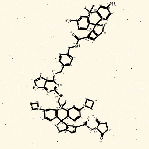 C[Si]1(C)c2cc(N)ccc2C2(OCc3ccc(C(=O)NCc4ccc(COc5nc(NC[Si]6(C)c7cc(N8CCC8)ccc7C7(OCc8ccc(C(=O)ON9C(=O)CCC9=O)cc87)c7ccc(N8CCC8)cc76)nc6[nH]cnc56)cc4)cc32)c2ccc(N)cc21